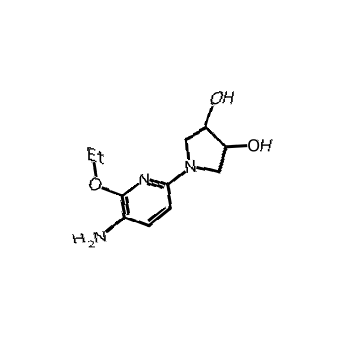 CCOc1nc(N2CC(O)C(O)C2)ccc1N